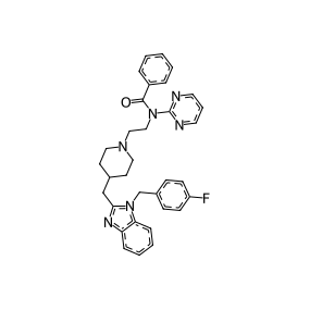 O=C(c1ccccc1)N(CCN1CCC(Cc2nc3ccccc3n2Cc2ccc(F)cc2)CC1)c1ncccn1